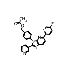 CC(=O)OCc1ccc(-n2c(-c3cccnc3)nc3ccc(-c4ccc(F)cn4)nc32)cc1